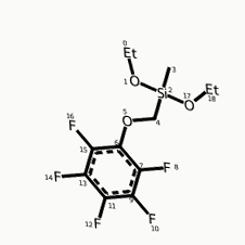 CCO[Si](C)(COc1c(F)c(F)c(F)c(F)c1F)OCC